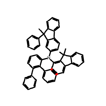 CC1(C)c2ccccc2-c2cccc(N(c3ccc4c(c3)C(C)(c3ccccc3)c3ccccc3-4)c3cccc(-c4ccccc4)c3-c3ccccc3)c21